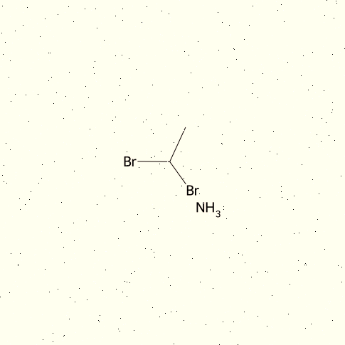 CC(Br)Br.N